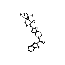 O=C(Nc1nc2c(s1)CN(C(=O)c1cc3ccccc3[nH]1)CC2)C1[C@H]2CNC[C@@H]12